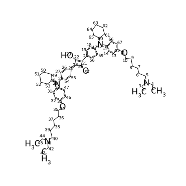 CCN(CC)CCCCCCOc1ccc(N(c2ccc(C3=C(O)C(=C4C=CC(N(c5ccc(OCCCCCCN(CC)CC)cc5)C5CCCCC5)C=C4)C3=O)cc2)C2CCCCC2)cc1